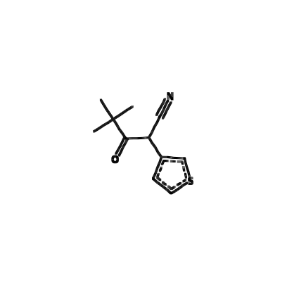 CC(C)(C)C(=O)C(C#N)c1ccsc1